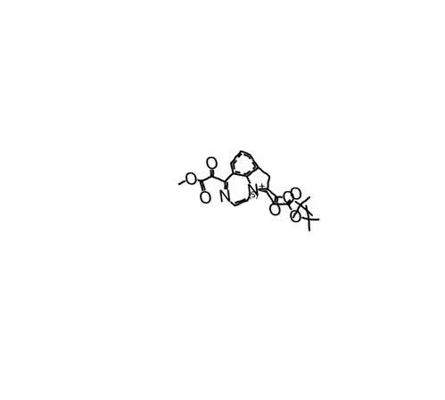 COC(=O)C(=O)C1=NC=C[N@+]2(CCC(=O)OC(C)(C)C)c3c(cccc31)CC2C(=O)OC(C)(C)C